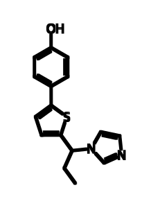 CCC(c1ccc(-c2ccc(O)cc2)s1)n1ccnc1